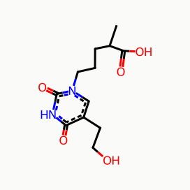 CC(CCCn1cc(CCO)c(=O)[nH]c1=O)C(=O)O